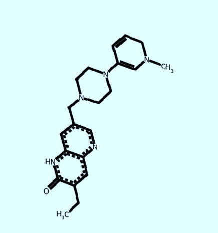 CCc1cc2ncc(CN3CCN(C4=CN(C)CC=C4)CC3)cc2[nH]c1=O